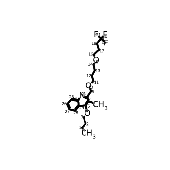 CCCCOc1c(C)c(COCCCCOCCCC(F)(F)F)nc2ccccc12